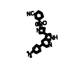 CN(C)c1ccc(-c2cnc3[nH]cc(-c4cnn(S(=O)(=O)c5cccc(C#N)c5)c4)c3c2)cc1